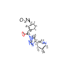 O=C(c1cccc([N+](=O)[O-])c1)n1cc(C2CN3CCC2C3)nn1